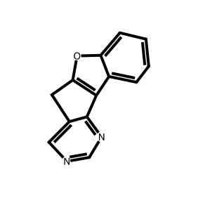 c1ccc2c3c(oc2c1)Cc1cncnc1-3